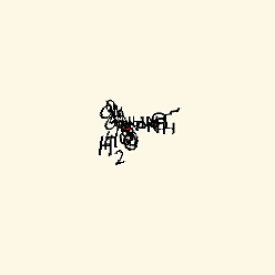 CCCCCCOC(=O)NC(=N)c1ccc(NCc2nc3cc(C(=O)N(CCC(=O)OCC)c4ccccn4)ccc3n2C)cc1.CS(=O)(=O)O.O